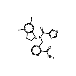 NC(=O)c1ccccc1CN(C(=O)c1cncs1)[C@@H]1CCc2c(F)cc(F)cc21